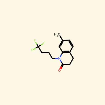 Cc1ccc2c(c1)N(CCCC(F)(F)F)C(=O)CC2